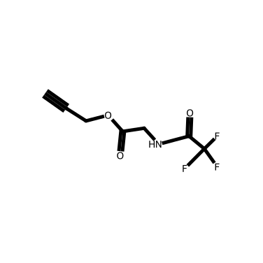 C#CCOC(=O)CNC(=O)C(F)(F)F